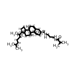 C=C(C)C(=O)NCCCNO[C@H]1CC[C@@]2(C)C(=CC[C@H]3[C@@H]4CC[C@H]([C@H](C)CCCC(C)C)[C@@]4(C)CC[C@@H]32)C1